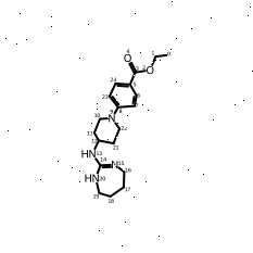 CCOC(=O)c1ccc(N2CCC(NC3=NCCCCN3)CC2)cc1